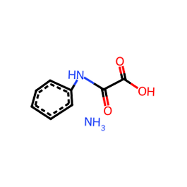 N.O=C(O)C(=O)Nc1ccccc1